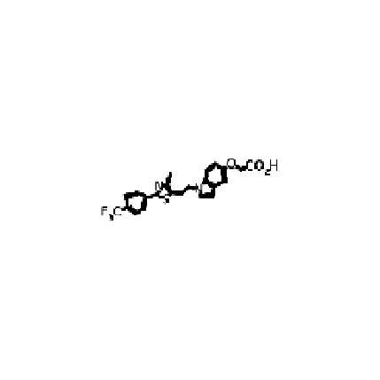 Cc1nc(-c2ccc(C(F)(F)F)cc2)sc1CCn1ccc2cc(OCC(=O)O)ccc21